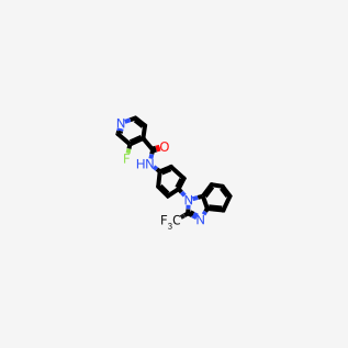 O=C(Nc1ccc(-n2c(C(F)(F)F)nc3ccccc32)cc1)c1ccncc1F